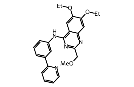 CCOc1cc2nc(COC)nc(Nc3cccc(-c4ccccn4)c3)c2cc1OCC